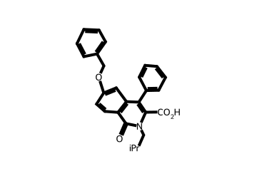 CC(C)Cn1c(C(=O)O)c(-c2ccccc2)c2cc(OCc3ccccc3)ccc2c1=O